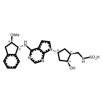 CO[C@@H]1Cc2ccccc2[C@H]1Nc1ncnc2c1ccn2[C@@H]1C[C@@H](CNS(=O)(=O)O)[C@@H](O)C1